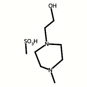 CN1CCN(CCO)CC1.CS(=O)(=O)O